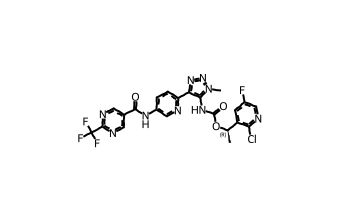 C[C@@H](OC(=O)Nc1c(-c2ccc(NC(=O)c3cnc(C(F)(F)F)nc3)cn2)nnn1C)c1cc(F)cnc1Cl